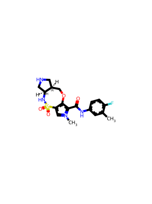 Cc1cc(NC(=O)c2c3c(cn2C)S(=O)(=O)N[C@H]2CNC[C@H]2CO3)ccc1F